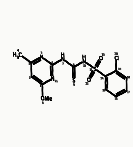 COc1cc(C)nc(NC(=S)NS(=O)(=O)c2ccccc2Cl)n1